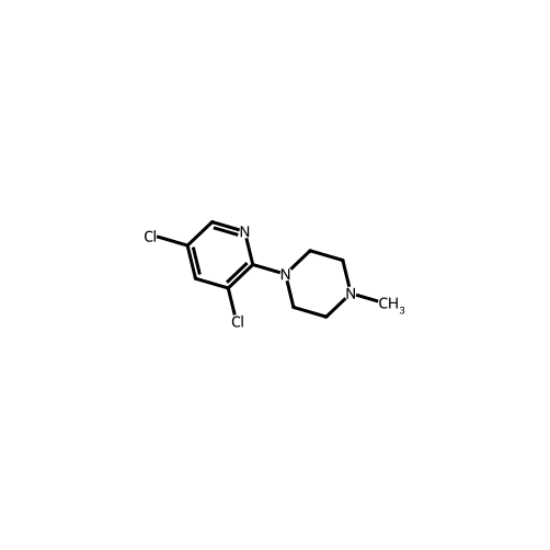 CN1CCN(c2ncc(Cl)cc2Cl)CC1